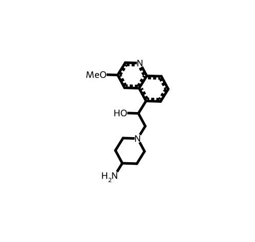 COc1cnc2cccc(C(O)CN3CCC(N)CC3)c2c1